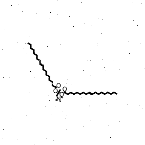 CCCCCCCCC=CCCCCCCCC(=O)OC(C)(C[N+](C)(C)C)OC(=O)CCCCCCCC=CCCCCCCCC